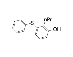 CCCc1c(O)cccc1Sc1ccccc1